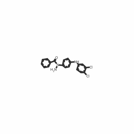 NN(C(=O)c1ccccc1)c1ccc(Nc2ccc(Cl)c(Cl)c2)cc1